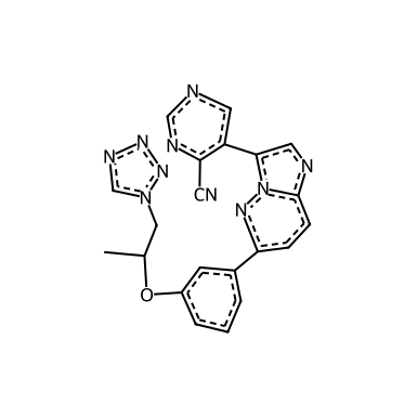 CC(Cn1cnnn1)Oc1cccc(-c2ccc3ncc(-c4cncnc4C#N)n3n2)c1